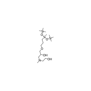 CN(CCO)CC(O)COCCC[Si](C)(O[Si](C)(C)C)O[Si](C)(C)C